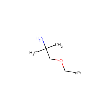 CCCCOCC(C)(C)N